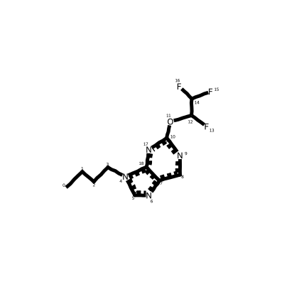 CCCCn1cnc2cnc(OC(F)C(F)F)nc21